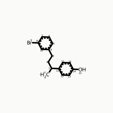 [CH2]C(CCc1cccc(Br)c1)c1ccc(O)cc1